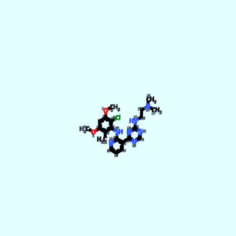 COc1cc(OC)c(Cl)c(Nc2ncccc2-c2ncnc(NCCN(C)C)n2)c1C